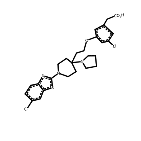 O=C(O)Cc1cc(Cl)cc(OCCC2(N3CCCC3)CCN(c3nc4ccc(Cl)cc4s3)CC2)c1